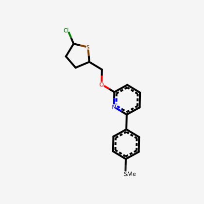 CSc1ccc(-c2cccc(OCC3CCC(Cl)S3)n2)cc1